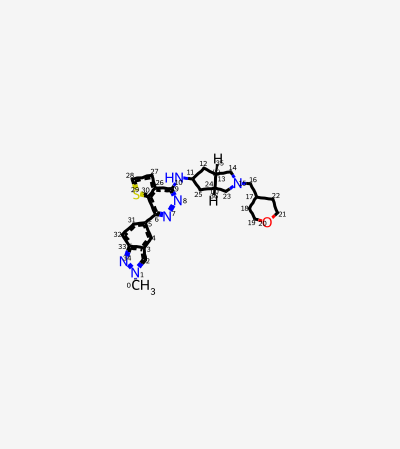 Cn1cc2cc(-c3nnc(NC4C[C@@H]5CN(CC6CCOCC6)C[C@@H]5C4)c4ccsc34)ccc2n1